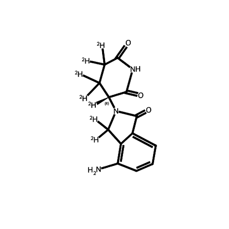 [2H]C1([2H])c2c(N)cccc2C(=O)N1[C@@]1([2H])C(=O)NC(=O)C([2H])([2H])C1([2H])[2H]